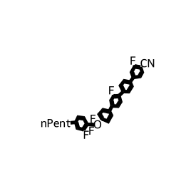 CCCCCc1ccc(C(F)(F)Oc2ccc(-c3ccc(-c4ccc(-c5ccc(C#N)c(F)c5)cc4)c(F)c3)cc2)c(F)c1